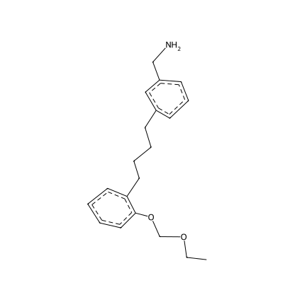 CCOCOc1ccccc1CCCCc1cccc(CN)c1